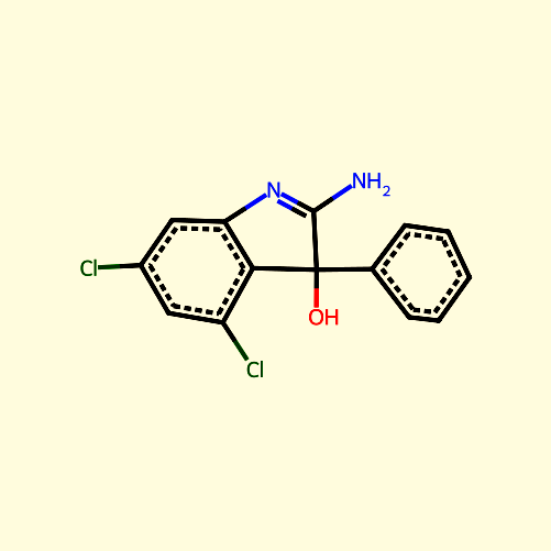 NC1=Nc2cc(Cl)cc(Cl)c2C1(O)c1ccccc1